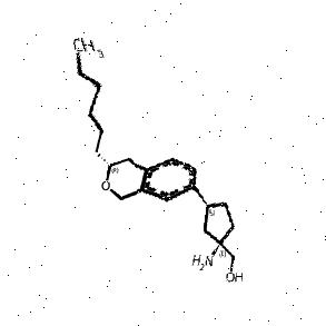 CCCCCC[C@@H]1Cc2ccc([C@H]3CC[C@](N)(CO)C3)cc2CO1